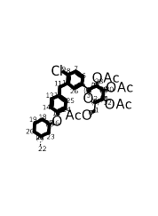 CC(=O)OC[C@H]1O[C@@H](c2ccc(Cl)c(Cc3ccc(O[C@@H]4CCC[C@@H](C)C4)cc3)c2)[C@H](OC(C)=O)[C@@H](OC(C)=O)[C@@H]1OC(C)=O